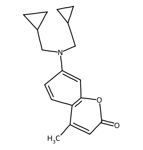 Cc1cc(=O)oc2cc(N(CC3CC3)CC3CC3)ccc12